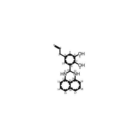 C=CCc1cc(O)c(O)c(C2Nc3cccc4cccc(c34)N2)c1